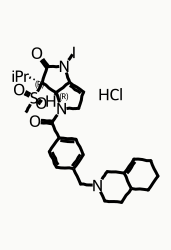 CC(C)[C@]1(S(C)(=O)=O)C(=O)N(I)C2=CCN(C(=O)c3ccc(CN4CCC5CCCC=C5C4)cc3)[C@H]21.Cl